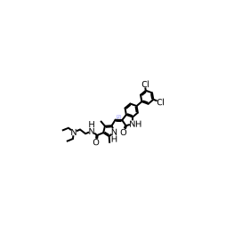 CCN(CC)CCNC(=O)c1c(C)[nH]c(/C=C2\C(=O)Nc3cc(-c4cc(Cl)cc(Cl)c4)ccc32)c1C